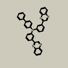 c1ccc(-c2ccc(N(c3cccc(-c4cnc5ccccc5n4)c3)c3cccc(-c4cnc5ccccc5n4)c3)cc2)cc1